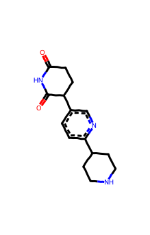 O=C1CCC(c2ccc(C3CCNCC3)nc2)C(=O)N1